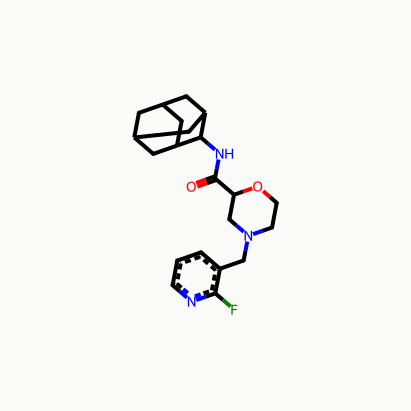 O=C(NC1C2CC3CC(C2)CC1C3)C1CN(Cc2cccnc2F)CCO1